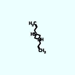 C=CC[SiH]1C[SiH](CC=C)C1